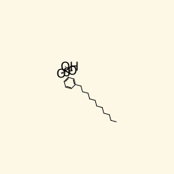 CCCCCCCCCCCc1cccc(S(=O)(=O)O)c1